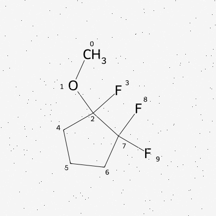 COC1(F)CCCC1(F)F